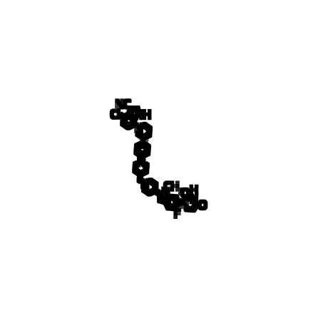 Cn1c(C2CCN(CC3CCN(c4ccc([C@H]5CCCN(c6ccc(Cl)c7c(C#N)c[nH]c67)C5)cc4)CC3)CC2)cc2cc(F)c(N3CCC(=O)NC3=O)cc21